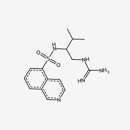 CC(C)C(CNC(=N)N)NS(=O)(=O)c1cccc2cnccc12